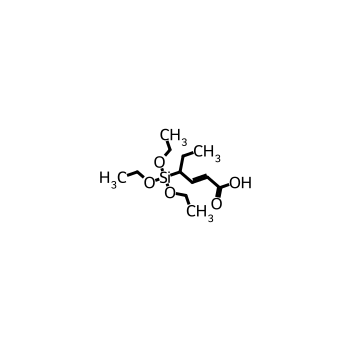 CCO[Si](OCC)(OCC)C(C=CC(=O)O)CC